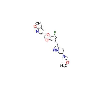 COc1ccc(C2COc3cc(Cc4cnn5cc(N6CC(OC)C6)ccc45)cc(F)c3O2)cn1